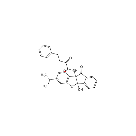 CC(C)c1ccc2c(c1)OC1(O)c3ccccc3C(=O)C21NC(=O)C(=O)CCc1ccccc1